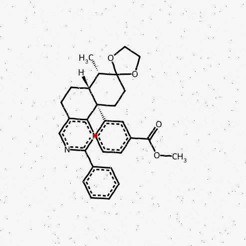 COC(=O)c1cccc([C@@]23CCC4(OCCO4)[C@@H](C)[C@H]2CCc2cnc(-c4ccccc4)nc23)c1